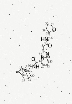 O=C(Cc1cn2c(C(=O)NCC34CC5CC(CC(C5)C3)C4)cccc2n1)NCC1CCCO1